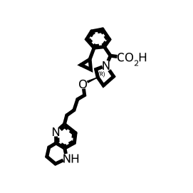 O=C(O)C(c1ccccc1C1CC1)N1CC[C@@H](OCCCCc2ccc3c(n2)CCCN3)C1